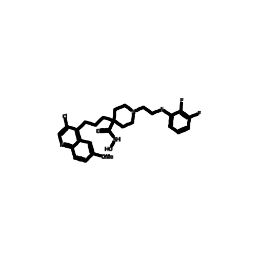 COc1ccc2ncc(Cl)c(CCCC3(C(=O)NO)CCN(CCSc4cccc(F)c4F)CC3)c2c1